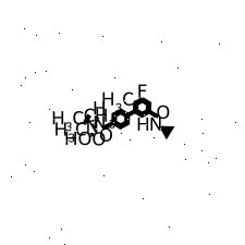 Cc1c(F)cc(C(=O)NC2CC2)cc1-c1ccc(C(=O)NN(C(=O)O)C(C)(C)C)cc1